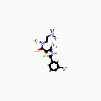 CCN(CC)CCN(C)C(=O)c1sc(-c2cccc(C(C)C)c2)nc1C